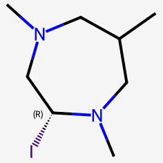 CC1CN(C)C[C@@H](I)N(C)C1